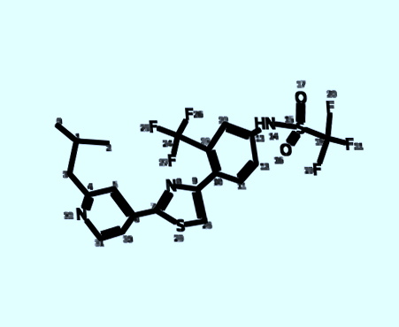 CC(C)Cc1cc(-c2nc(-c3ccc(NS(=O)(=O)C(F)(F)F)cc3C(F)(F)F)cs2)ccn1